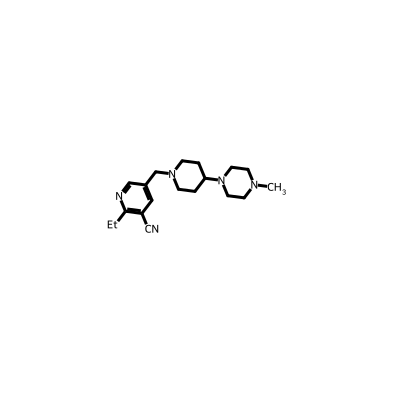 CCc1ncc(CN2CCC(N3CCN(C)CC3)CC2)cc1C#N